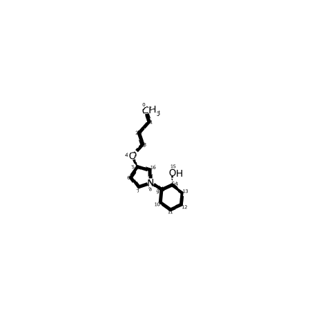 CCCCO[C@@H]1CCN(C2CCCC[C@H]2O)C1